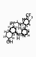 CC(C)CNc1nc(C(F)(F)F)ccc1-c1cc(Nc2cccc3c2CC(O)CC3)ncn1